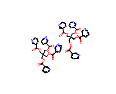 O=C(OCC(COC(=O)c1cccnc1)(COC(=O)c1cccnc1)COC(=O)c1cccnc1)c1cccnc1.O=C(OCC(COC(=O)c1cccnc1)(COC(=O)c1cccnc1)COC(=O)c1cccnc1)c1cccnc1